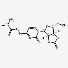 C[C@@H](N)C(=O)ONc1ccn([C@@H]2O[C@H](CO)[C@H]3OC(=O)O[C@H]32)c(=O)n1